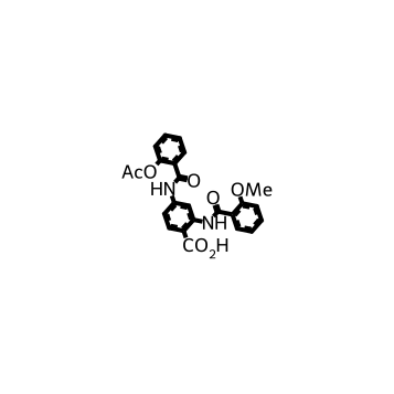 COc1ccccc1C(=O)Nc1cc(NC(=O)c2ccccc2OC(C)=O)ccc1C(=O)O